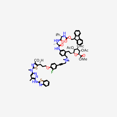 COC(=O)[C@H]1O[C@@H](CCc2cc(NC(=O)[C@H](C)NC(=O)[C@@H](NC(=O)OCC3c4ccccc4-c4ccccc43)C(C)C)ccc2C[N+](C)(C)CC#Cc2ccc(OCCCc3sc(N(C)c4cc(C)c(Nc5nc6ccccc6s5)nn4)nc3C(=O)O)c(F)c2)[C@H](OC(C)=O)[C@@H](OC(C)=O)[C@@H]1OC(C)=O